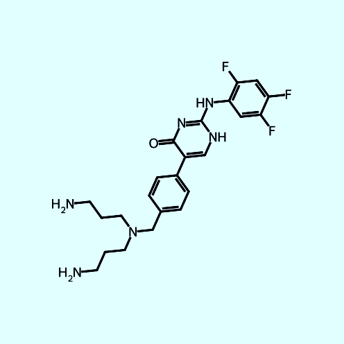 NCCCN(CCCN)Cc1ccc(-c2c[nH]c(Nc3cc(F)c(F)cc3F)nc2=O)cc1